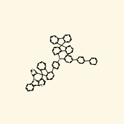 c1ccc(-c2ccc(-c3ccc(N(c4ccc(-c5cccc6c5-c5ccccc5C65c6ccccc6-n6c7ccccc7c7cccc5c76)cc4)c4cccc5c4-c4ccccc4C54c5ccccc5-c5ccccc54)cc3)cc2)cc1